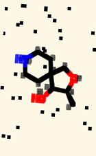 C[C@@H]1OCC2(CCNCC2)C1O